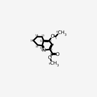 CCOc1cc(C(=O)OC)nc2c1CCCC2